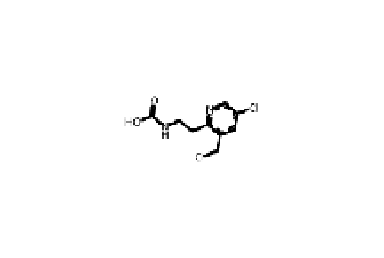 O=C(O)NCCc1ncc(Cl)cc1CCl